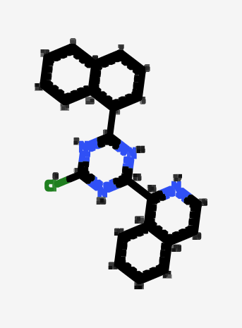 Clc1nc(-c2cccc3ccccc23)nc(-c2nccc3ccccc23)n1